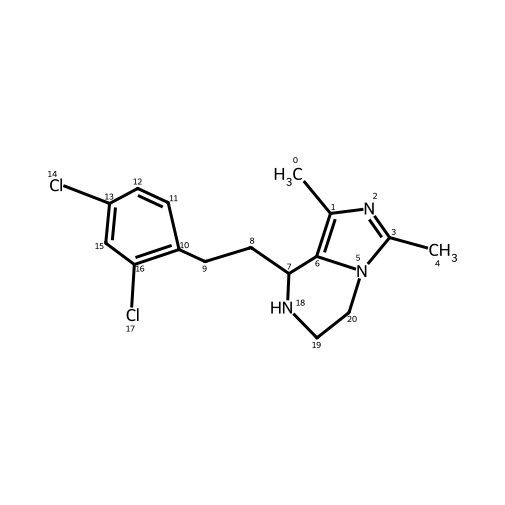 Cc1nc(C)n2c1C(CCc1ccc(Cl)cc1Cl)NCC2